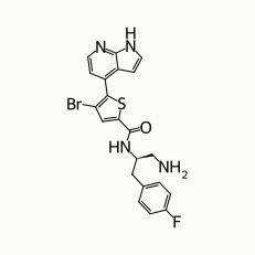 NC[C@@H](Cc1ccc(F)cc1)NC(=O)c1cc(Br)c(-c2ccnc3[nH]ccc23)s1